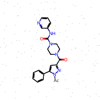 CC(=O)n1nc(C(=O)N2CCN(C(=O)Nc3cccnc3)CC2)cc1-c1ccccc1